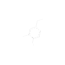 [CH2]Cc1ccc(Cl)c(Cl)c1